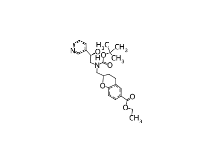 CCOC(=O)c1ccc2c(c1)CCC(CN(C[C@H](O)c1cccnc1)C(=O)OC(C)(C)C)O2